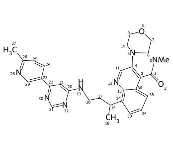 CNC(=O)c1c(N2CCOCC2)cnc2c(C(C)CCNc3cc(-c4ccc(C)nc4)ncn3)cccc12